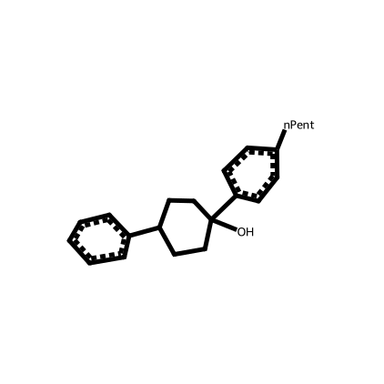 CCCCCc1ccc(C2(O)CCC(c3ccccc3)CC2)cc1